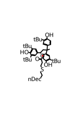 CCCCCCCCCCCCSCCC(=O)OC(CC(C)(c1ccc(O)c(C(C)(C)C)c1)c1ccc(O)c(C(C)(C)C)c1)c1cc(C(C)(C)C)c(O)c(C(C)(C)C)c1